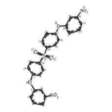 O=[N+]([O-])c1cccc(Oc2ccc(S(=O)(=O)c3ccc(Oc4cccc([N+](=O)[O-])c4)cc3)cc2)c1